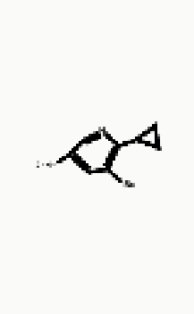 CC(=O)Nc1cnc(C2CC2)c(C(C)(C)C)c1